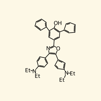 CCN(CC)c1ccc(-c2nc(-c3cc(-c4ccccc4)c(O)c(-c4ccccc4)c3)oc2-c2ccc(N(CC)CC)cc2)cc1